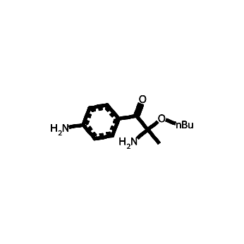 CCCCOC(C)(N)C(=O)c1ccc(N)cc1